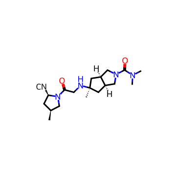 [C-]#[N+][C@@H]1C[C@H](C)CN1C(=O)CN[C@@]1(C)C[C@H]2CN(C(=O)N(C)C)C[C@H]2C1